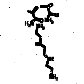 C=C(C)C(N)=O.C=C(C)C(N)=O.NCCNCCNCCN